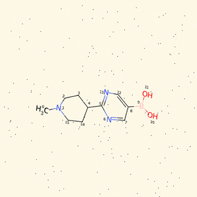 CN1CCC(c2ncc(B(O)O)cn2)CC1